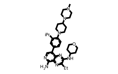 CCc1nc2c(N)ncc(-c3ccc(N4CCC(N5CCN(C)CC5)CC4)c(C(C)C)c3)c2nc1NC1CCOCC1